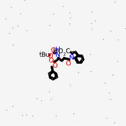 CC(C)(C)OC(=O)NC(CCC(=O)N1c2ccccc2CC1C(=O)O)C(=O)OCc1ccccc1